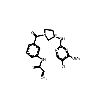 C=CC(=O)Nc1cccc(C(=O)N2CC[C@@H](Nc3ncc(Cl)c(OC)n3)C2)c1